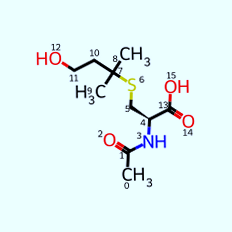 CC(=O)N[C@@H](CSC(C)(C)CCO)C(=O)O